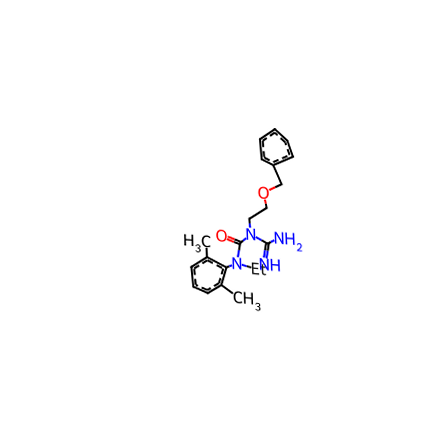 CCN(C(=O)N(CCOCc1ccccc1)C(=N)N)c1c(C)cccc1C